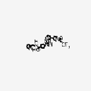 O=C(CCC(F)(F)F)N1CC=C(c2cccn3nc(Nc4ccc(C(O)NCCc5ccccn5)cc4)nc23)CC1